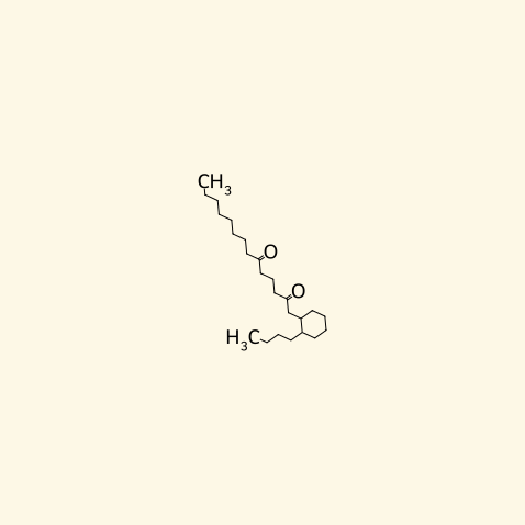 CCCCCCCCC(=O)CCCC(=O)CC1CCCCC1CCCC